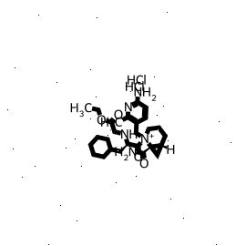 CCOC(=O)CN[C@H](CC1CCCCC1)C(=O)[N+]1(Cc2ccc(N)nc2C)CCC[C@@H]2C[C@@]21C(N)=O.Cl.Cl